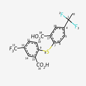 CC(F)(F)c1ccc(Sc2ccc(C(F)(F)F)cc2C(=O)O)c(C(=O)O)c1